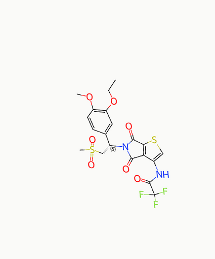 CCOc1cc([C@@H](CS(C)(=O)=O)N2C(=O)c3scc(NC(=O)C(F)(F)F)c3C2=O)ccc1OC